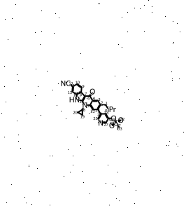 CC(C)Cc1cc2c(=O)c3c4ccc(C#N)cc4[nH]c3n(C3CC3)c2cc1-c1cncc(OS(=O)(=O)F)c1